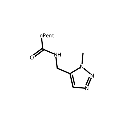 CCCCCC(=O)NCc1cnnn1C